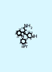 CC(C)C1CCC(n2c(C3CCNCC3)c(CCN)c3ccccc32)CC1